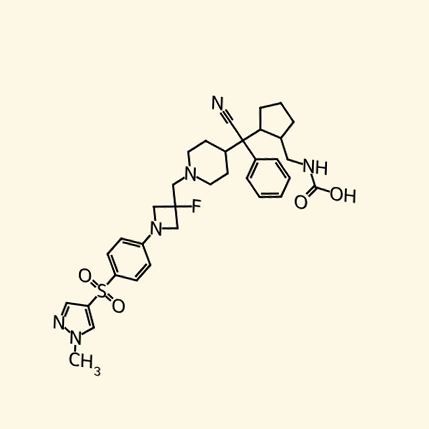 Cn1cc(S(=O)(=O)c2ccc(N3CC(F)(CN4CCC(C(C#N)(c5ccccc5)C5CCCC5CNC(=O)O)CC4)C3)cc2)cn1